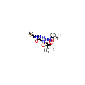 CC(=O)SCCNC(=O)CCNC(=O)[C@@H]1O[P@](=O)(NC(C(=O)O)C(C)C)OCC1(C)C